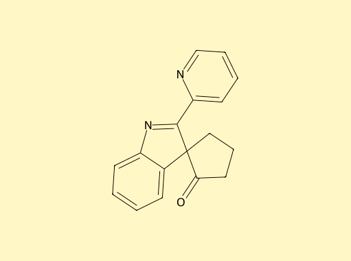 O=C1CCCC12C(c1ccccn1)=Nc1ccccc12